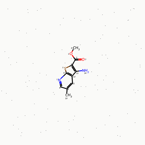 COC(=O)c1sc2ncc(C)cc2c1N